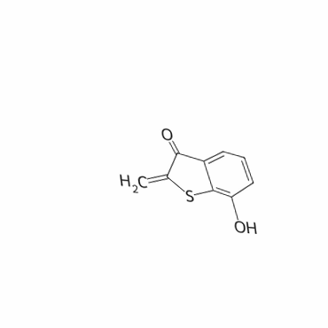 C=C1Sc2c(O)cccc2C1=O